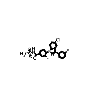 CS(=O)(=O)NC(=O)c1ccc(-n2nc(-c3cccc(F)c3)c3cc(Cl)ccc32)c(F)c1